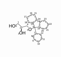 OC[C@H](O)COC(c1ccccc1)(c1ccccc1)c1ccccc1